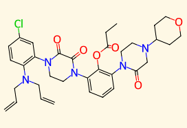 C=CCN(CC=C)c1ccc(Cl)cc1N1CCN(c2cccc(N3CCN(C4CCOCC4)CC3=O)c2OC(=O)CC)C(=O)C1=O